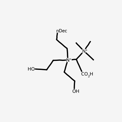 CCCCCCCCCCCC[N+](CCO)(CCO)C(C(=O)O)[N+](C)(C)C